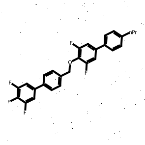 CCCc1ccc(-c2cc(F)c(OCc3ccc(-c4cc(F)c(F)c(F)c4)cc3)c(F)c2)cc1